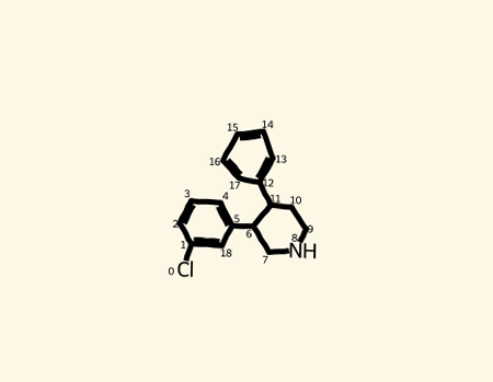 Clc1cccc(C2CNCCC2c2ccccc2)c1